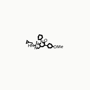 COc1ccc(-c2cc3c(n(-c4ccccc4)c2=O)N(C)C(NCC2CC2)N=C3)cc1